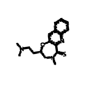 CN(C)CCC1CN(C)C(=S)c2nc3ccccc3cc2O1